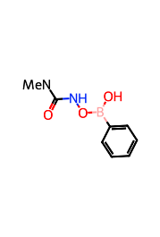 CNC(=O)NOB(O)c1ccccc1